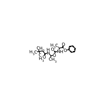 CC(NC(=O)CC(C)(C)C)OC(=O)N[C@@H](C)C(=O)Oc1ccccc1